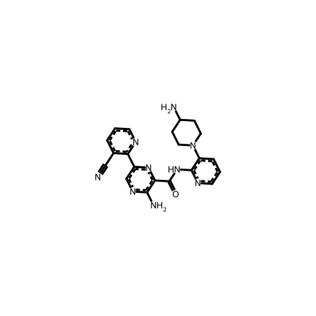 N#Cc1cccnc1-c1cnc(N)c(C(=O)Nc2ncccc2N2CCC(N)CC2)n1